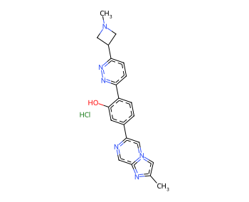 Cc1cn2cc(-c3ccc(-c4ccc(C5CN(C)C5)nn4)c(O)c3)ncc2n1.Cl